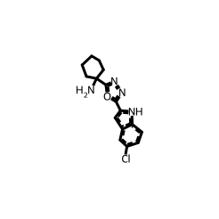 NC1(c2nnc(-c3cc4cc(Cl)ccc4[nH]3)o2)CCCCC1